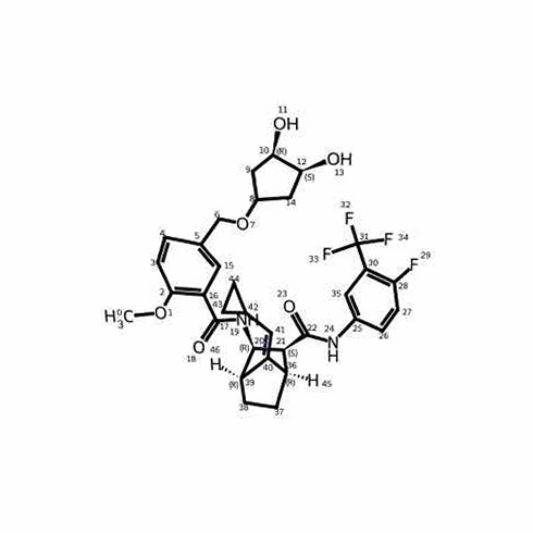 COc1ccc(COC2C[C@@H](O)[C@@H](O)C2)cc1C(=O)N[C@H]1[C@@H](C(=O)Nc2ccc(F)c(C(F)(F)F)c2)[C@H]2CC[C@@H]1/C2=C\C1CC1